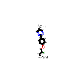 CCCCCCCCc1cnc(-c2ccc(OCC(F)CC(C)CCC)cc2)nc1